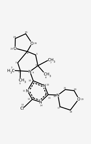 CC1(C)CC2(CC(C)(C)N1c1nc(Cl)nc(N3CCOCC3)n1)OCCO2